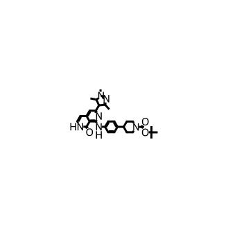 CC1=NN(C)C(C)C1c1cc2cc[nH]c(=O)c2c(Nc2ccc(C3CCN(C(=O)OC(C)(C)C)CC3)cc2)n1